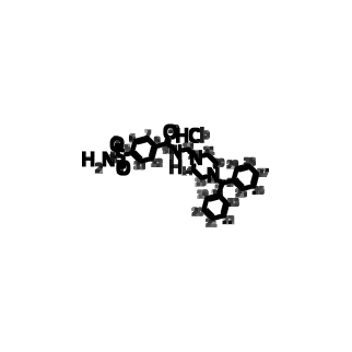 Cl.NS(=O)(=O)c1ccc(C(=O)NCN2CCN(C(c3ccccc3)c3ccccc3)CC2)cc1